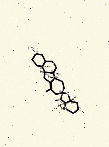 CC1=C2C[C@H]3[C@@H](CCC4C[C@@H](O)CC[C@@]43C)[C@@H]2CC[C@@]2(C1)O[C@@H]1C[C@H](C)CN[C@H]1[C@H]2C